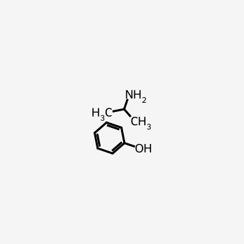 CC(C)N.Oc1ccccc1